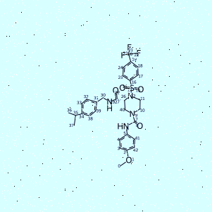 COc1ccc(NC(=O)N2CCN(S(=O)(=O)c3ccc(C(F)(F)F)cc3)[C@@H](C(=O)NCc3ccc(C(C)C)cc3)C2)cc1